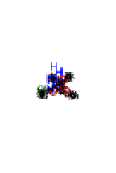 O=C(CN(Cc1ccc(OCc2ccccc2)cc1)C(=O)[C@H](Cc1c[nH]cn1)NC(=O)OCc1ccccc1)NCCc1ccccc1Cl